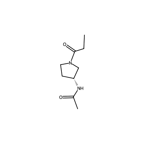 CCC(=O)N1CC[C@@H](NC(C)=O)C1